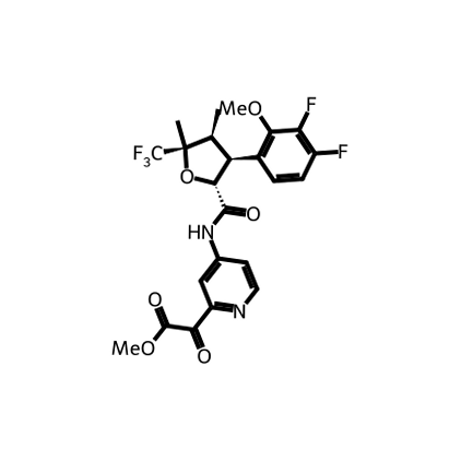 COC(=O)C(=O)c1cc(NC(=O)[C@@H]2O[C@@](C)(C(F)(F)F)[C@@H](C)[C@H]2c2ccc(F)c(F)c2OC)ccn1